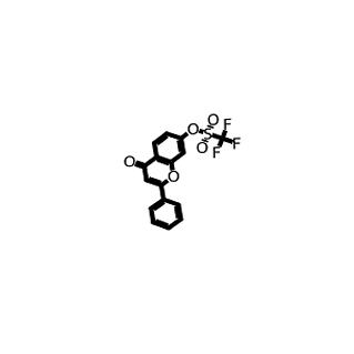 O=c1cc(-c2ccccc2)oc2cc(OS(=O)(=O)C(F)(F)F)ccc12